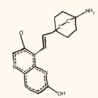 NC12CCC(C=Cc3c(Cl)cnc4ccc(O)nc34)(CC1)CC2